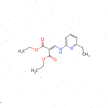 CCOC(=O)C(=CNc1cccc(CC)n1)C(=O)OCC